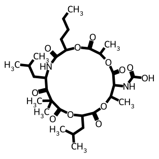 CCCCC1OC(=O)C(C)OC(=O)C(NC(=O)O)C(C)OC(=O)C(CC(C)C)OC(=O)C(C)(C)C(=O)C(CC(C)C)NC1=O